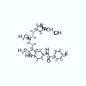 Cc1[nH]c2ccc(NC(=O)c3ccc(F)cc3)cc2c1CCN(C)CCc1cnn(C)c1.Cl